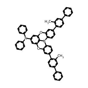 Cc1cc(-c2ccccc2)ccc1-c1ccc2c(c1)Oc1cc(N(c3ccccc3)c3ccccc3)cc3c1B2c1ccc(-c2ccc(-c4ccccc4)cc2C)cc1O3